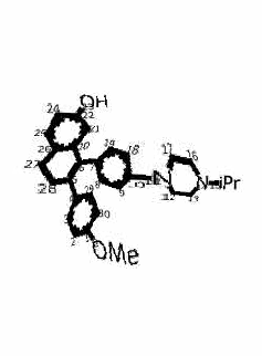 COc1ccc(C2=C(c3ccc(N4CCN(C(C)C)CC4)cc3)c3cc(O)ccc3CC2)cc1